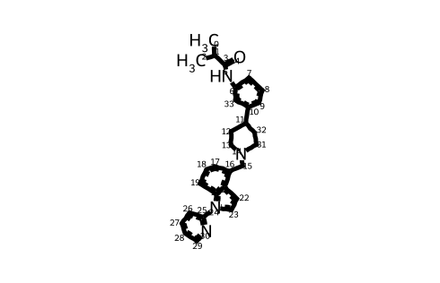 CC(C)C(=O)Nc1cccc(C2CCN(Cc3cccc4c3ccn4-c3ccccn3)CC2)c1